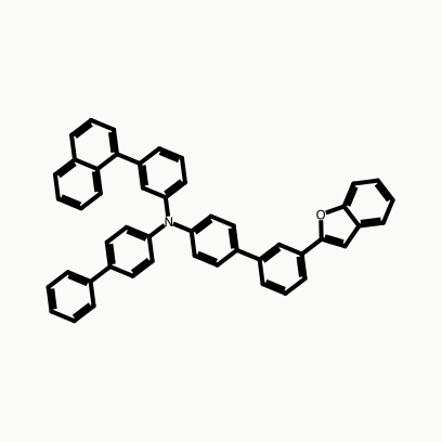 c1ccc(-c2ccc(N(c3ccc(-c4cccc(-c5cc6ccccc6o5)c4)cc3)c3cccc(-c4cccc5ccccc45)c3)cc2)cc1